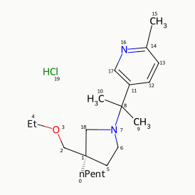 CCCCC[C@@]1(COCC)CCN(C(C)(C)c2ccc(C)nc2)C1.Cl